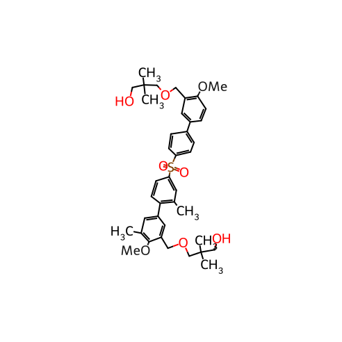 COc1ccc(-c2ccc(S(=O)(=O)c3ccc(-c4cc(C)c(OC)c(COCC(C)(C)CO)c4)c(C)c3)cc2)cc1COCC(C)(C)CO